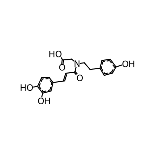 O=C(O)CN(CCc1ccc(O)cc1)C(=O)/C=C/c1ccc(O)c(O)c1